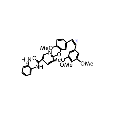 COc1ccc(/C=C\c2cc(OC)c(OC)c(OC)c2)cc1Oc1ccc(C(=O)Nc2ccccc2N)cn1